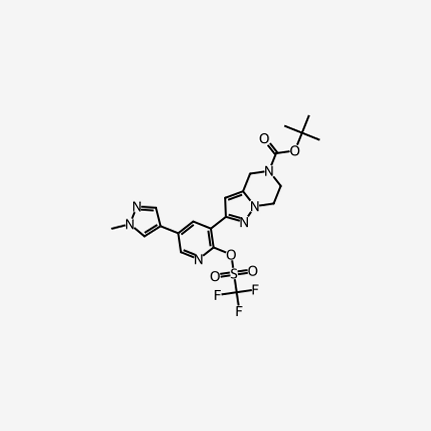 Cn1cc(-c2cnc(OS(=O)(=O)C(F)(F)F)c(-c3cc4n(n3)CCN(C(=O)OC(C)(C)C)C4)c2)cn1